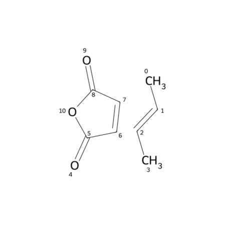 CC=CC.O=C1C=CC(=O)O1